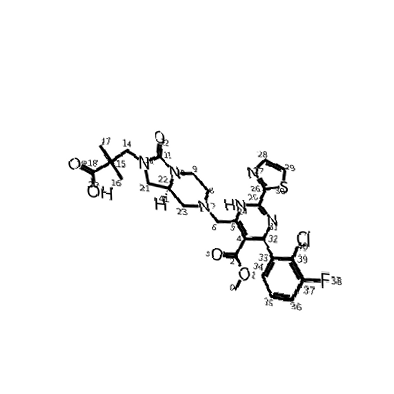 COC(=O)C1=C(CN2CCN3C(=O)N(CC(C)(C)C(=O)O)C[C@@H]3C2)NC(c2nccs2)=N[C@H]1c1cccc(F)c1Cl